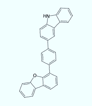 c1ccc2c(c1)[nH]c1ccc(-c3ccc(-c4cccc5c4oc4ccccc45)cc3)cc12